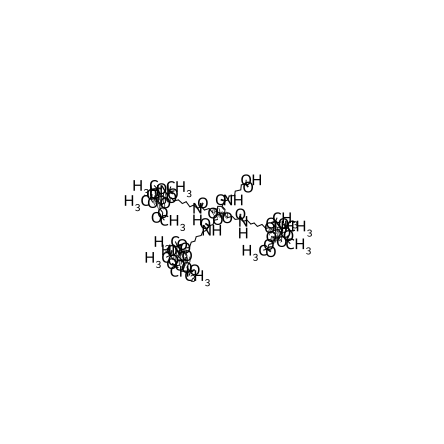 CC(=O)N[C@H]1[C@H](OCCCCCCNC(=O)CCO[C@@H]2[C@H](OCCC(=O)NCCCCCCO[C@@H]3O[C@H](COC(C)=O)[C@H](OC(C)=O)[C@H](OC(C)=O)[C@H]3NC(C)=O)C=C(C(=O)NCCCCCC(=O)O)C[C@H]2OCCC(=O)NCCCCCCO[C@@H]2O[C@H](COC(C)=O)[C@H](OC(C)=O)[C@H](OC(C)=O)[C@H]2NC(C)=O)O[C@H](COC(C)=O)[C@H](OC(C)=O)[C@@H]1OC(C)=O